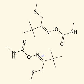 CNC(=O)O/N=C(\CSC)C(C)(C)C.CNC(=O)ON=C(CSC)C(C)(C)C